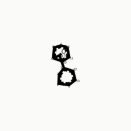 c1ccc(C2Oc3ccc2cc3)cc1